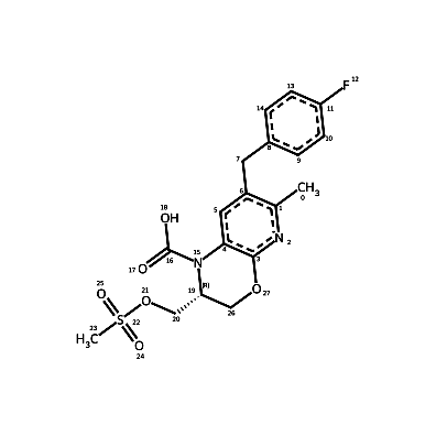 Cc1nc2c(cc1Cc1ccc(F)cc1)N(C(=O)O)[C@@H](COS(C)(=O)=O)CO2